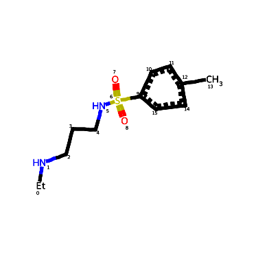 CCNCCCNS(=O)(=O)c1ccc(C)cc1